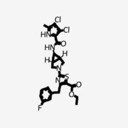 CCOC(=O)c1sc(N2C[C@@H]3[C@H](C2)[C@@H]3NC(=O)c2[nH]c(C)c(Cl)c2Cl)nc1Cc1cccc(F)c1